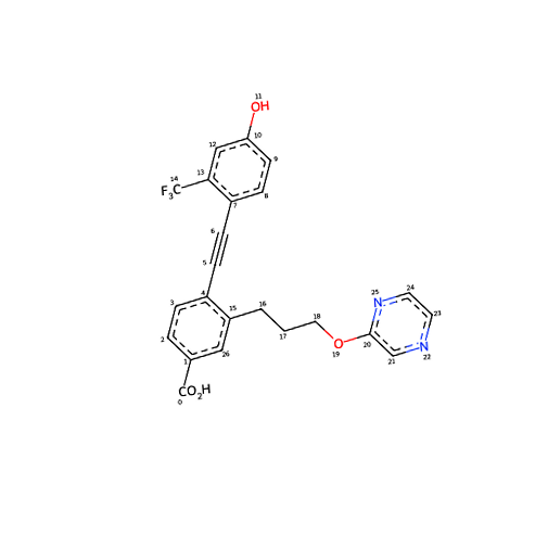 O=C(O)c1ccc(C#Cc2ccc(O)cc2C(F)(F)F)c(CCCOc2cnccn2)c1